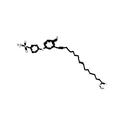 CC(C)(C)OC(=O)CCCCCCCCCCCCCC#Cc1cc(Oc2ccc(S(N)(=O)=O)cc2)ccc1F